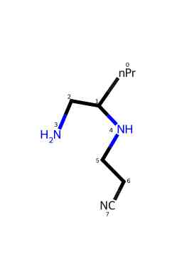 CCCC(CN)NCCC#N